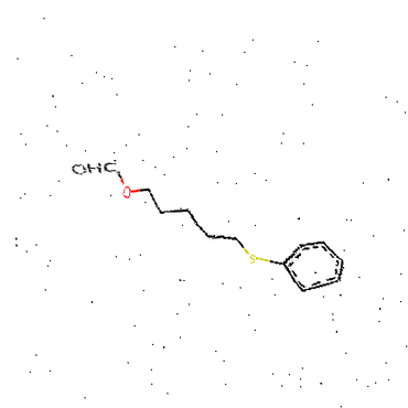 O=COCCCCCSc1ccccc1